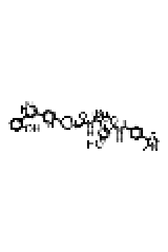 Cc1ncsc1-c1ccc(C(C)NC(=O)[C@@H]2C[C@@H](O)CN2C(=O)C(NC(=O)CN2CCC(c3ccc(-c4cnnc(-c5ccccc5O)c4)cn3)CC2)C(C)(C)C)cc1